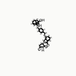 O=C1CCC(N2Cc3c(SCc4ccc(CNC56CC7CC(CC(O)(C7)C5)C6)cc4)cccc3C2=O)C(=O)N1